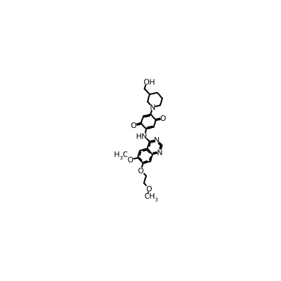 COCCOc1cc2ncnc(NC3=CC(=O)C(N4CCCC(CO)C4)=CC3=O)c2cc1OC